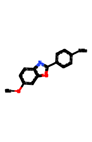 CNc1ccc(-c2nc3ccc(OC(C)(C)C)cc3o2)cc1